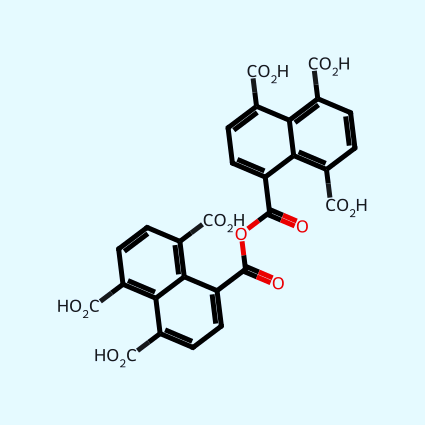 O=C(O)c1ccc(C(=O)O)c2c(C(=O)OC(=O)c3ccc(C(=O)O)c4c(C(=O)O)ccc(C(=O)O)c34)ccc(C(=O)O)c12